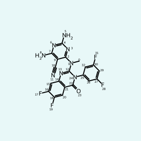 CN(c1nc(N)nc(N)c1C#N)c1nc2cc(F)c(F)cc2c(=O)n1-c1cc(F)cc(F)c1